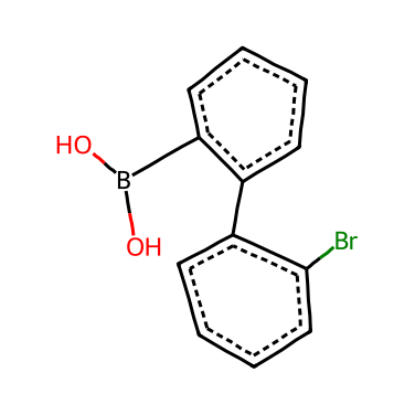 OB(O)c1ccccc1-c1ccccc1Br